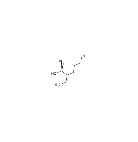 CCCCC(CC)C(=O)O.[Hg]